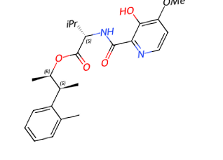 COc1ccnc(C(=O)N[C@H](C(=O)O[C@H](C)[C@@H](C)c2ccccc2C)C(C)C)c1O